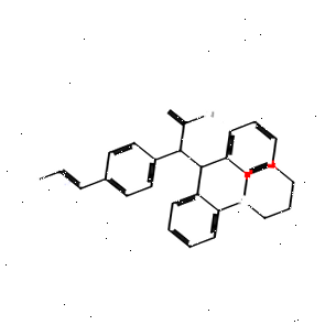 NC(=O)C(c1ccc(/C=C/C(=O)O)cc1)C(c1ccccc1)c1ccccc1N1CCCCC1